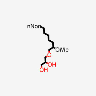 CCCCCCCCCCCCCCC(COCC(O)CO)OC